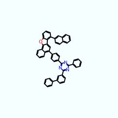 c1ccc(-c2cccc(-c3nc(-c4ccccc4)nc(-c4ccc(-c5cc6c(oc7cccc(-c8ccc9ccccc9c8)c76)c6ccccc56)cc4)n3)c2)cc1